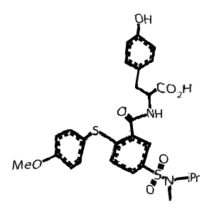 COc1ccc(Sc2ccc(S(=O)(=O)N(C)C(C)C)cc2C(=O)NC(Cc2ccc(O)cc2)C(=O)O)cc1